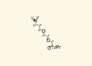 CC(C)C(=O)COCCOCCCN(C)C